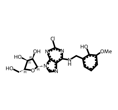 COc1cccc(CNc2nc(Cl)nc3c2ncn3[C@@H]2O[C@H](CO)[C@@H](O)[C@H]2O)c1O